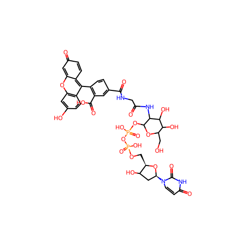 O=C(CNC(=O)c1ccc(-c2c3ccc(=O)cc-3oc3cc(O)ccc23)c(C(=O)O)c1)NC1C(OP(=O)(O)OP(=O)(O)OC[C@H]2O[C@@H](n3ccc(=O)[nH]c3=O)CC2O)OC(CO)C(O)C1O